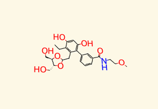 CCc1c(O)cc(O)c(-c2cccc(C(=O)NCCOC)c2)c1CC1O[C@H](CO)[C@@H](CO)O1